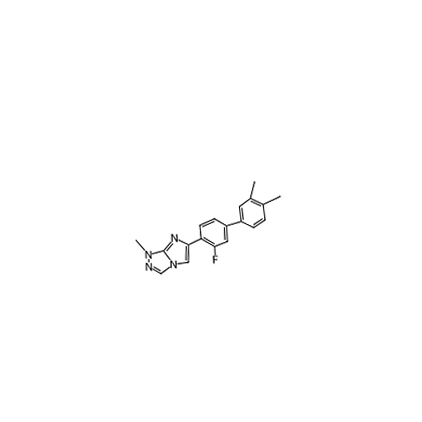 Cc1ccc(-c2ccc(-c3cn4cnn(C)c4n3)c(F)c2)cc1C